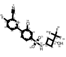 N#Cc1nc(-c2ccc(S(=O)(=O)N[C@H]3C[C@](O)(C(F)(F)F)C3)cc2Cl)ccc1F